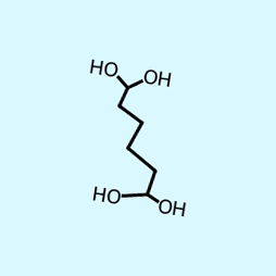 OC(O)CCCCC(O)O